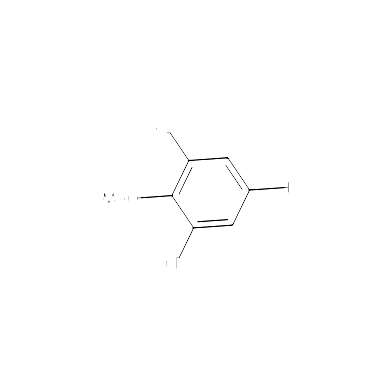 COc1c(Cl)cc(I)cc1Cl